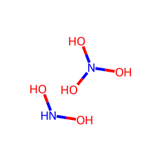 ON(O)O.ONO